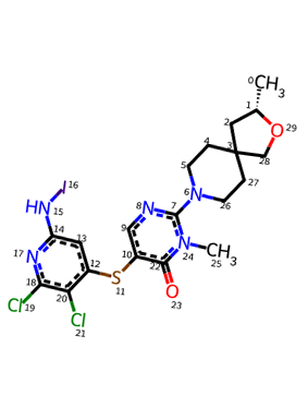 C[C@H]1CC2(CCN(c3ncc(Sc4cc(NI)nc(Cl)c4Cl)c(=O)n3C)CC2)CO1